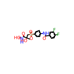 CC(O)(CS(=O)(=O)c1ccc(NC(=O)c2ccc(F)c(F)c2)cc1)C(=O)NO